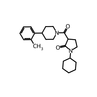 Cc1ccccc1C1CCN(C(=O)C2CCN(C3CCCCC3)C2=O)CC1